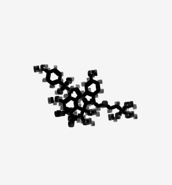 Cc1ccc(S(=O)(=O)n2ccc3c(C(C)(c4nc5cc(C#N)ccc5n4COCC[Si](C)(C)C)N(C)C(=O)OC(C)(C)C)c(C)cc(C)c32)cc1